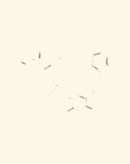 Cc1cccc(C)c1COCc1cn([C@H]2C[C@@H](O)[C@@H](COP(=O)(O)OP(=O)(O)OP(=O)(O)O)O2)c(=O)[nH]c1=O